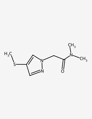 CSc1cnn(CC(=O)N(C)C)c1